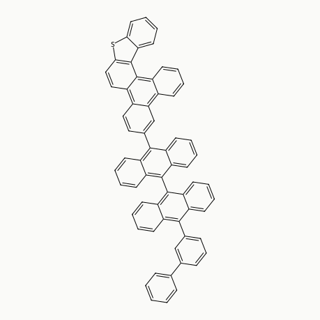 c1ccc(-c2cccc(-c3c4ccccc4c(-c4c5ccccc5c(-c5ccc6c(c5)c5ccccc5c5c6ccc6sc7ccccc7c65)c5ccccc45)c4ccccc34)c2)cc1